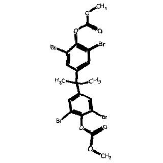 COC(=O)Oc1c(Br)cc(C(C)(C)c2cc(Br)c(OC(=O)OC)c(Br)c2)cc1Br